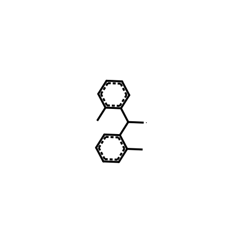 [CH2]C(c1ccccc1C)c1ccccc1C